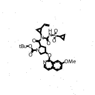 C=CC1CC1N(C(=O)NS(=O)(=O)C1CC1)C(=O)C1CC(Oc2nccc3ccc(OC)cc23)CN1C(=O)OC(C)(C)C